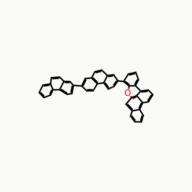 c1cc(-c2ccc3c(ccc4cc(-c5ccc6c(ccc7ccccc76)c5)ccc43)c2)c2c(c1)-c1cccc3c1c(cc1ccccc13)O2